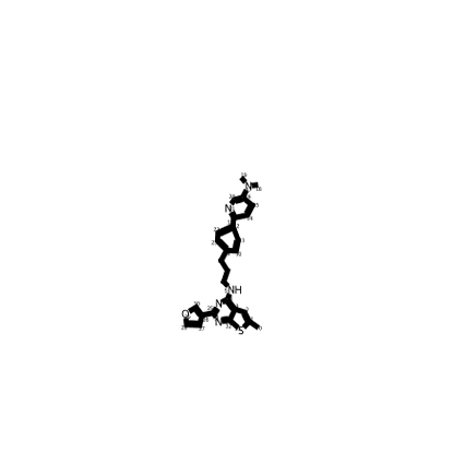 Cc1cc2c(NCCCc3ccc(-c4ccc(N(C)C)cn4)cc3)nc(-c3ccoc3)nc2s1